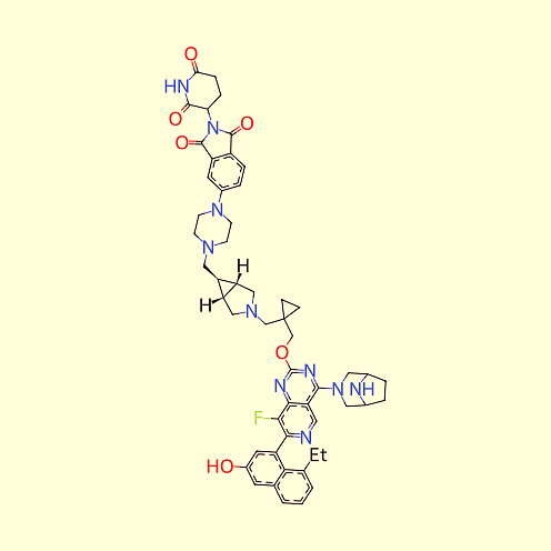 CCc1cccc2cc(O)cc(-c3ncc4c(N5CC6CCC(C5)N6)nc(OCC5(CN6C[C@@H]7[C@@H](CN8CCN(c9ccc%10c(c9)C(=O)N(C9CCC(=O)NC9=O)C%10=O)CC8)[C@@H]7C6)CC5)nc4c3F)c12